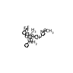 COc1ccc(CN2CCN(c3c(C)n(Cc4c(F)cccc4C(F)(F)F)c(=O)n(CC(N)c4ccccc4)c3=O)CC2)cn1